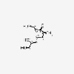 C=C(CSCC(O)CO)C(=O)OCC